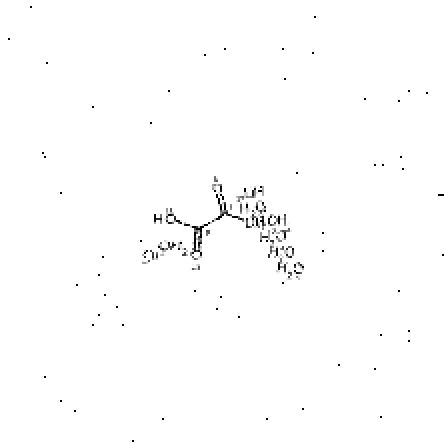 O.O.O.O.O.O.O=C(O)C(=O)O.[Cu].[LiH]